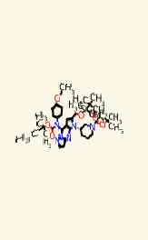 CCOc1ccc(N(C(=O)OC(C)(C)C)c2c3cc(CO[Si](C)(C)C(C)(C)C)n([C@H]4CCCN(C(=O)OC(C)(C)C)C4)c3nc3ccnn23)cc1